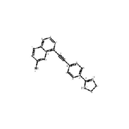 Nc1cnc2cccc(C#Cc3ccc(C4=NCCN4)cc3)c2c1